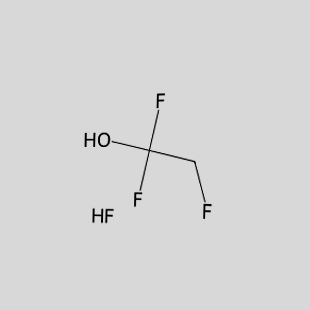 F.OC(F)(F)CF